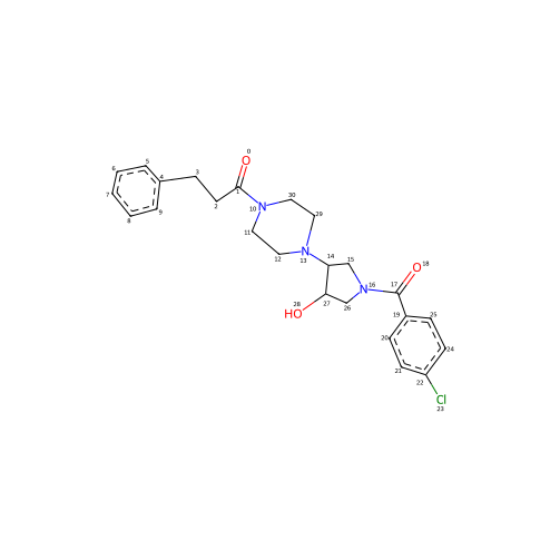 O=C(CCc1ccccc1)N1CCN(C2CN(C(=O)c3ccc(Cl)cc3)CC2O)CC1